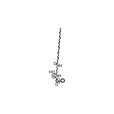 CCC=CCC=CCC=CCC=CCC=CCC=CCCC(=O)NCCCCC(NC(=O)C1=CC(=O)C(C)(c2ccccc2)O1)C(=O)O